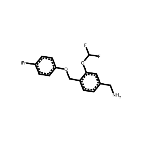 CC(C)c1ccc(OCc2ccc(CN)cc2OC(F)F)cc1